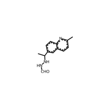 Cc1ccc2cc(C(C)NNC=O)ccc2n1